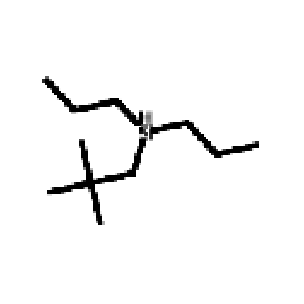 CCC[SiH](CCC)CC(C)(C)C